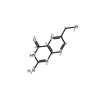 CC(C)Cc1cnc2nc(N)[nH]c(=O)c2n1